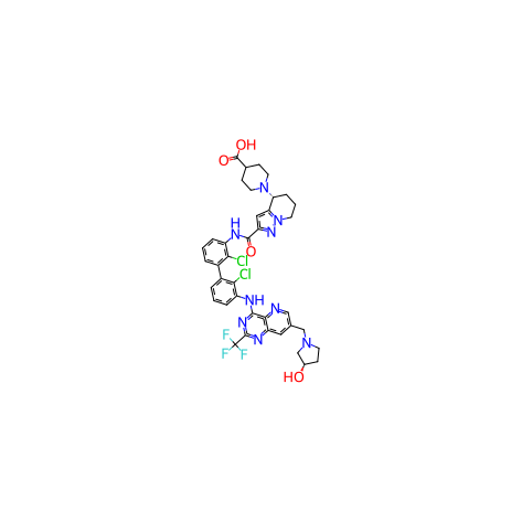 O=C(Nc1cccc(-c2cccc(Nc3nc(C(F)(F)F)nc4cc(CN5CC[C@@H](O)C5)cnc34)c2Cl)c1Cl)c1cc2n(n1)CCC[C@H]2N1CCC(C(=O)O)CC1